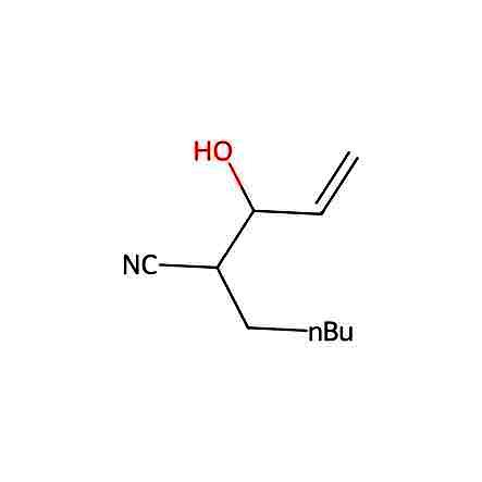 C=CC(O)C(C#N)CCCCC